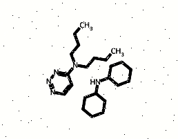 C1CCC(NC2CCCCC2)CC1.CCCCN(CCCC)c1ccnnn1